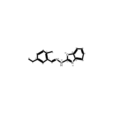 CCc1ccc(C)c(/C=N/Nc2nc3ccccc3o2)c1